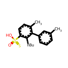 CCCCc1c(S(=O)(O)=S)ccc(C)c1-c1cccc(C)c1